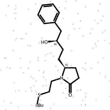 CCCCSCCN1C(=O)CC[C@@H]1CC[C@@H](O)Cc1ccccc1